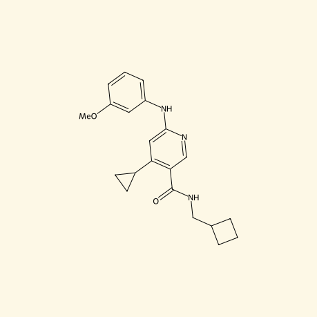 COc1cccc(Nc2cc(C3CC3)c(C(=O)NCC3CCC3)cn2)c1